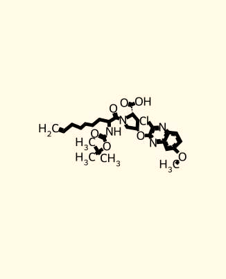 C=CCCCCCC(NC(=O)OC(C)(C)C)C(=O)N1C[C@H](Oc2nc3cc(OC)ccc3nc2Cl)C[C@H]1C(=O)O